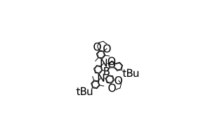 Cc1cc(C(C)(C)C)cc(C)c1N1c2cc3c(cc2B2c4c1cccc4N(c1c(C)cc4c(c1C)OCCCO4)c1oc4ccc(C(C)(C)C)cc4c12)OCCCO3